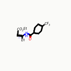 CCOC(=O)/C=C(/CC)NC(=O)C1CCC(C(F)(F)F)CC1